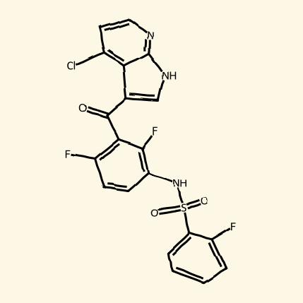 O=C(c1c(F)ccc(NS(=O)(=O)c2ccccc2F)c1F)c1c[nH]c2nccc(Cl)c12